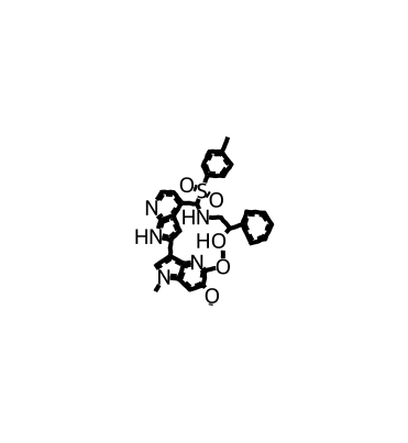 COc1cc2c(nc1OC)c(-c1cc3c(C(NCC(O)c4ccccc4)S(=O)(=O)c4ccc(C)cc4)ccnc3[nH]1)cn2C